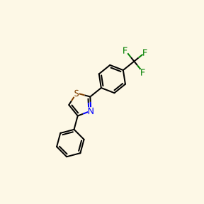 FC(F)(F)c1ccc(-c2nc(-c3ccccc3)cs2)cc1